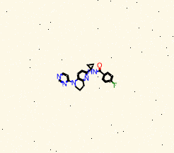 O=C(NC1(c2ccc3c(n2)CCCN3c2ccncn2)CC1)c1ccc(F)cc1